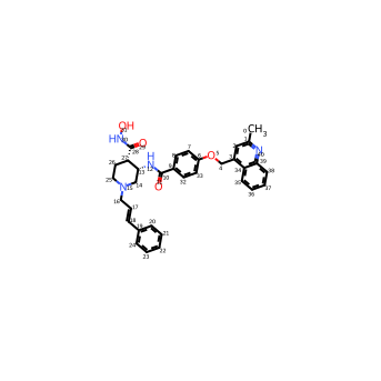 Cc1cc(COc2ccc(C(=O)N[C@@H]3CN(CC=Cc4ccccc4)CC[C@@H]3C(=O)NO)cc2)c2ccccc2n1